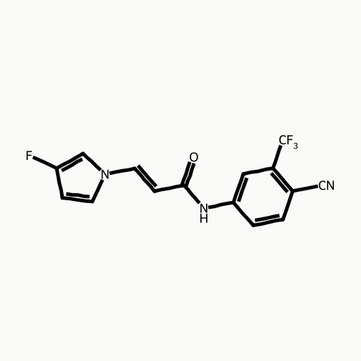 N#Cc1ccc(NC(=O)/C=C/n2ccc(F)c2)cc1C(F)(F)F